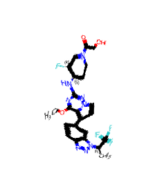 COc1nc(N[C@H]2CCN(C(=O)CO)C[C@H]2F)nn2ccc(-c3ccc4nnn([C@H](C)C(F)(F)F)c4c3)c12